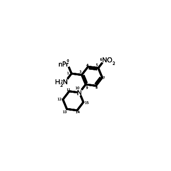 CCCC(N)c1cc([N+](=O)[O-])ccc1N1CCCCC1